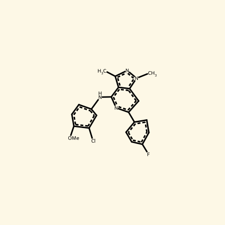 COc1ccc(Nc2nc(-c3ccc(F)cc3)cc3c2c(C)nn3C)cc1Cl